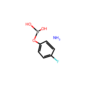 N.OB(O)Oc1ccc(F)cc1